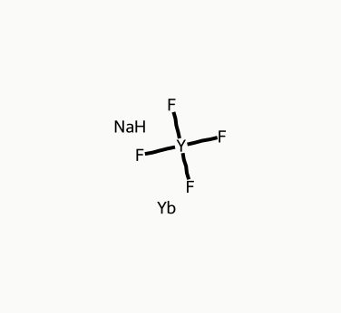 [F][Y]([F])([F])[F].[NaH].[Yb]